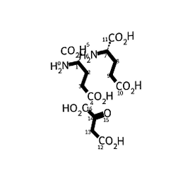 N[C@@H](CCC(=O)O)C(=O)O.N[C@@H](CCC(=O)O)C(=O)O.O=C(O)CC(=O)C(=O)O